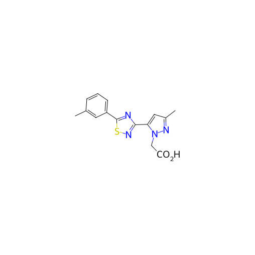 Cc1cccc(-c2nc(-c3cc(C)nn3CC(=O)O)ns2)c1